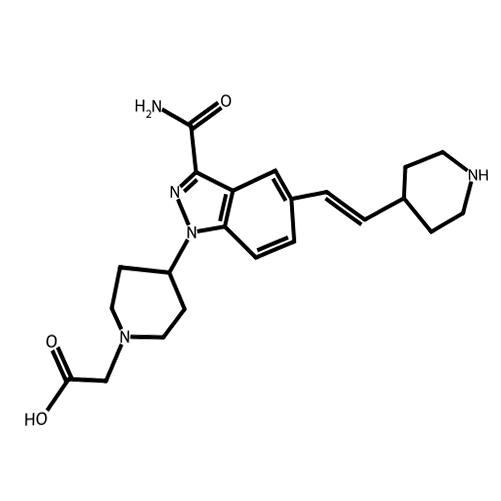 NC(=O)c1nn(C2CCN(CC(=O)O)CC2)c2ccc(C=CC3CCNCC3)cc12